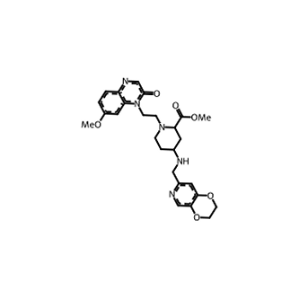 COC(=O)C1CC(NCc2cc3c(cn2)OCCO3)CCN1CCn1c(=O)cnc2ccc(OC)cc21